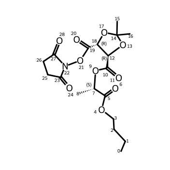 CCCCOC(=O)[C@H](C)OC(=O)[C@@H]1OC(C)(C)O[C@H]1C(=O)ON1C(=O)CCC1=O